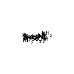 Nc1cc(/N=N/c2ccc(/C=C/c3ccc(/N=N/c4cc(N)cc5ccccc45)cc3S(=O)(=O)O)c(S(=O)(=O)O)c2)c2ccccc2c1